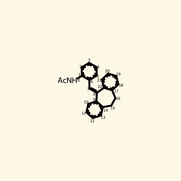 CC(=O)Nc1ccccc1C=C1c2ccccc2CCc2ccccc21